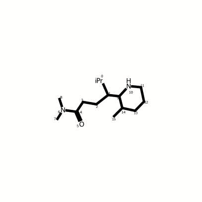 CC(C)C(CCC(=O)N(C)C)C1NCCCC1C